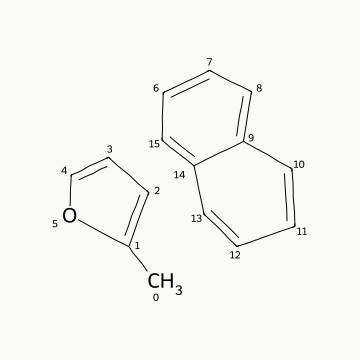 Cc1ccco1.c1ccc2ccccc2c1